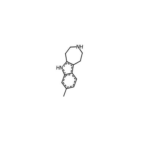 Cc1ccc2c3c([nH]c2c1)CCNCC3